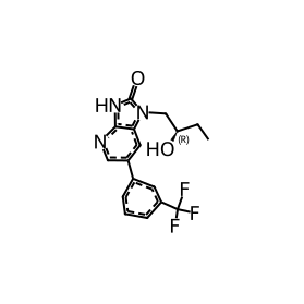 CC[C@@H](O)Cn1c(=O)[nH]c2ncc(-c3cccc(C(F)(F)F)c3)cc21